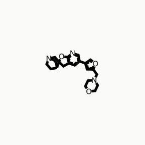 c1nc2c(cc1-c1coc(CN3CCOCC3)c1)CC1(CN3CCC1CC3)O2